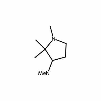 CNC1CCN(C)C1(C)C